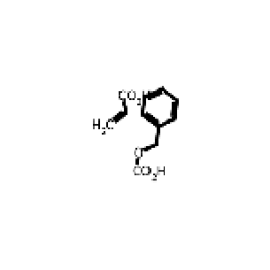 C=CC(=O)O.O=C(O)OCc1ccccc1